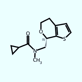 CN(C[C@@H]1OCCc2ccsc21)C(=O)C1CC1